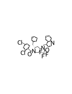 O=C(c1ccc(Cl)cc1Cl)N1CC[C@H](N(Cc2ccnc3ccccc23)C(=O)C(F)(F)F)C[C@H]1Cc1ccccc1